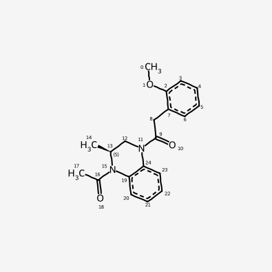 COc1ccccc1CC(=O)N1C[C@H](C)N(C(C)=O)c2ccccc21